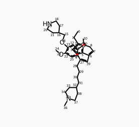 CCc1ccc(C2=C\CC(C)c3cc(OCC4CCNCC4)c(OC)cc3/C(CCCCC3CCN(C)CC3)=C\2)o1